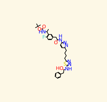 CC(NC(=O)OC(C)(C)C)c1cc(CC(=O)Nc2ccc(CCCCc3nnc(NC(O)Cc4ccccc4)s3)nn2)ccc1F